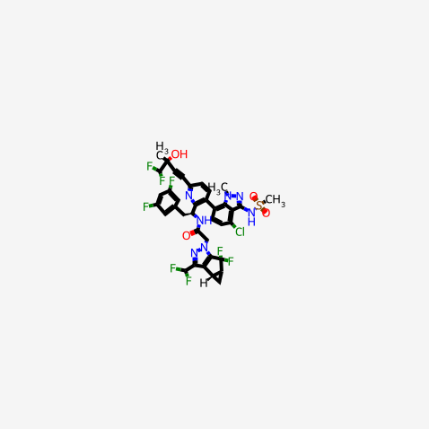 Cn1nc(NS(C)(=O)=O)c2c(Cl)ccc(-c3ccc(C#CC(C)(O)C(F)F)nc3[C@H](Cc3cc(F)cc(F)c3)NC(=O)Cn3nc(C(F)F)c4c3C(F)(F)C3C[C@H]43)c21